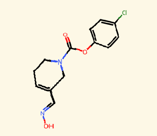 O=C(Oc1ccc(Cl)cc1)N1CCC=C(C=NO)C1